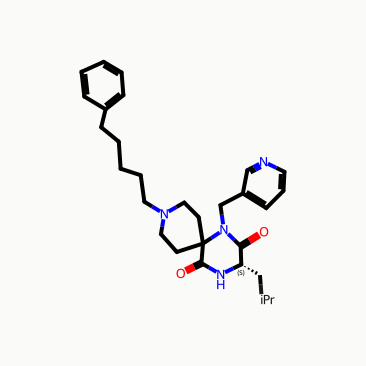 CC(C)C[C@@H]1NC(=O)C2(CCN(CCCCCc3ccccc3)CC2)N(Cc2cccnc2)C1=O